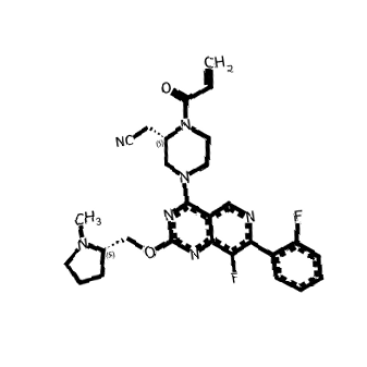 C=CC(=O)N1CCN(c2nc(OC[C@@H]3CCCN3C)nc3c(F)c(-c4ccccc4F)ncc23)C[C@@H]1CC#N